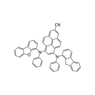 N#Cc1cc2ccc3c(N(c4ccccc4)c4cccc5c4Cc4ccccc4-5)cc(N(c4ccccc4)c4cccc5c4oc4ccccc45)c4ccc(c1)c2c34